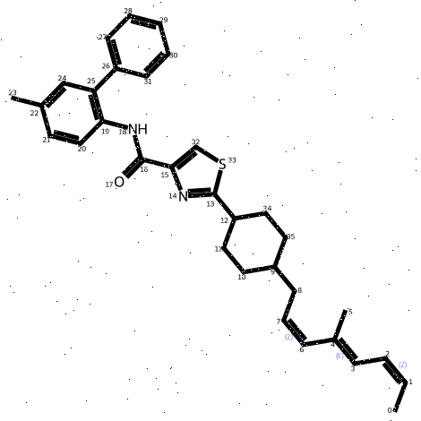 C\C=C/C=C(C)/C=C\CC1CCC(c2nc(C(=O)Nc3ccc(C)cc3-c3ccccc3)cs2)CC1